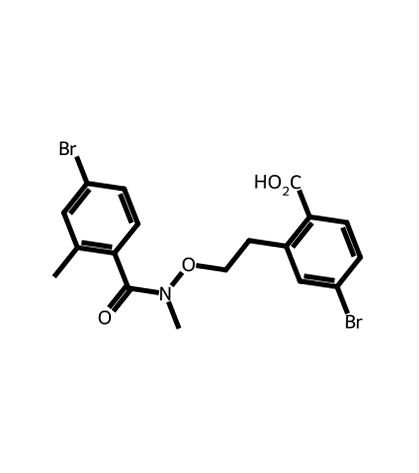 Cc1cc(Br)ccc1C(=O)N(C)OCCc1cc(Br)ccc1C(=O)O